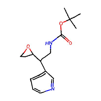 CC(C)(C)OC(=O)NCC(c1cccnc1)C1CO1